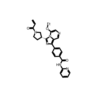 C=CC(=O)N1CC[C@@H](c2nc(-c3ccc(C(=O)Nc4ccccn4)cc3)c3cncc(OCC)n23)C1